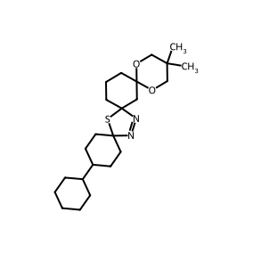 CC1(C)COC2(CCCC3(C2)N=NC2(CCC(C4CCCCC4)CC2)S3)OC1